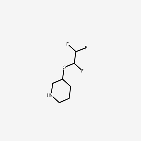 FC(F)C(F)OC1CCCNC1